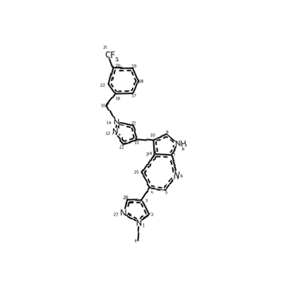 Cn1cc(-c2cnc3[nH]cc(-c4cnn(Cc5cccc(C(F)(F)F)c5)c4)c3c2)cn1